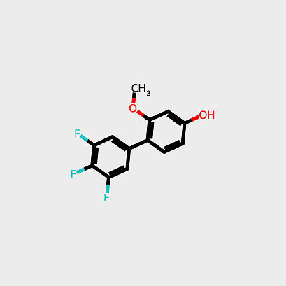 COc1cc(O)ccc1-c1cc(F)c(F)c(F)c1